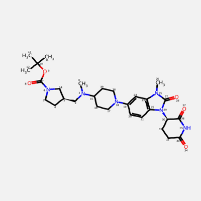 CN(C[C@H]1CCN(C(=O)OC(C)(C)C)C1)C1CCN(c2ccc3c(c2)n(C)c(=O)n3[C@@H]2CCC(=O)NC2=O)CC1